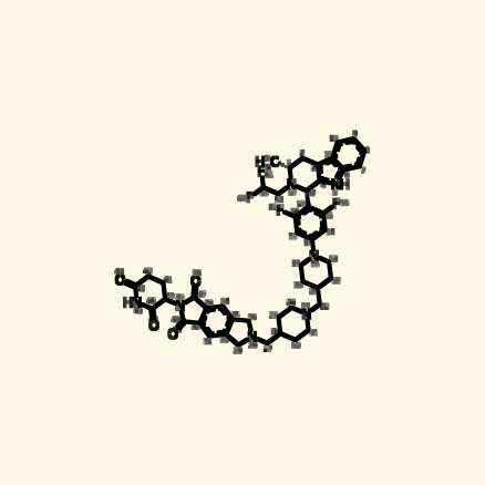 C[C@@H]1Cc2c([nH]c3ccccc23)[C@@H](c2c(F)cc(N3CCC(CN4CCC(CN5Cc6cc7c(cc6C5)C(=O)N(C5CCC(=O)NC5=O)C7=O)CC4)CC3)cc2F)N1CC(F)F